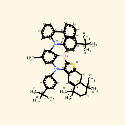 Cc1cc2c3c(c1)N(c1ccc(C(C)(C)C)cc1)c1c(sc4c1C=C1C(C4)C(C)(C)CCC1(C)C)B3c1cc(C(C)(C)C)ccc1N2c1ccccc1-c1ccccc1